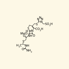 CO[C@@]1(NC(=O)CSC(C)NC(N)=O)C(=O)N2C(C(=O)O)=C(CSc3nnnn3CS(=O)(=O)O)CS[C@@H]21